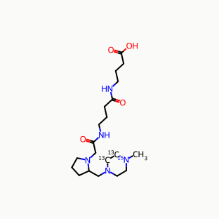 C[15N]1CCN(CC2CCCN2CC(=O)NCCCC(=O)NCCCC(=O)O)[13CH2][13CH2]1